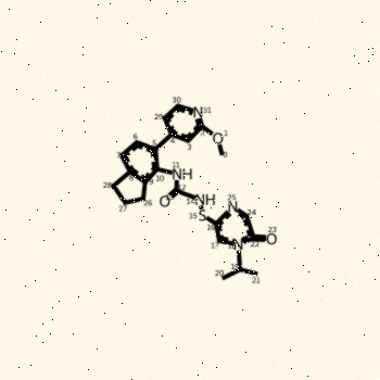 COc1cc(-c2ccc3c(c2NC(=O)NSc2cn(C(C)C)c(=O)cn2)CCC3)ccn1